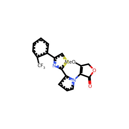 COC1=C(n2cccc2-c2nc(-c3ccccc3C(F)(F)F)cs2)C(=O)OC1